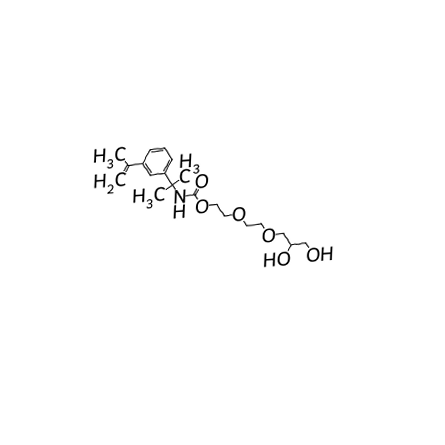 C=C(C)c1cccc(C(C)(C)NC(=O)OCCOCCOCC(O)CO)c1